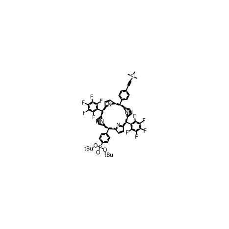 CC(C)(C)OP(=O)(OC(C)(C)C)c1ccc(-c2c3nc(c(-c4c(F)c(F)c(F)c(F)c4F)c4ccc([nH]4)c(-c4ccc(C#C[Si](C)(C)C)cc4)c4nc(c(-c5c(F)c(F)c(F)c(F)c5F)c5ccc2[nH]5)C=C4)C=C3)cc1